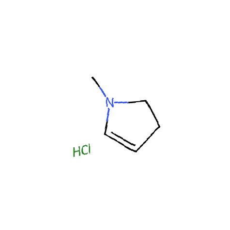 CN1C=CCC1.Cl